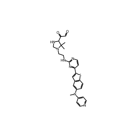 CN(c1ccncc1)c1ccc2sc(-c3ccnc(NCCN4CNC(C(=O)C=O)C4(C)C)n3)cc2c1